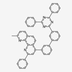 Cc1ccc2ccc3c(-c4cccc(-c5cccc(-c6nc(-c7ccccc7)nc(-c7ccccc7)n6)c5)c4)cc(-c4ccccc4)nc3c2n1